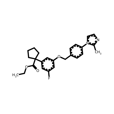 CCOC(=O)C1(c2cc(F)cc(OCc3ccc(-n4ccnc4C)cc3)c2)CCCC1